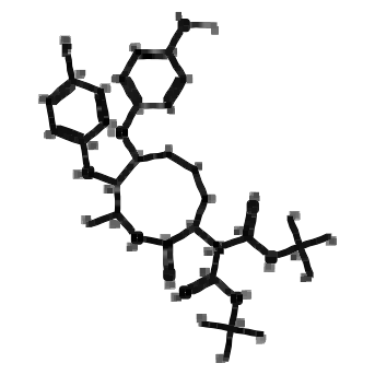 COc1ccc(OC2CCCC(N(C(=O)OC(C)(C)C)C(=O)OC(C)(C)C)C(=O)OC(C)C2Oc2ccc(F)cc2)cc1